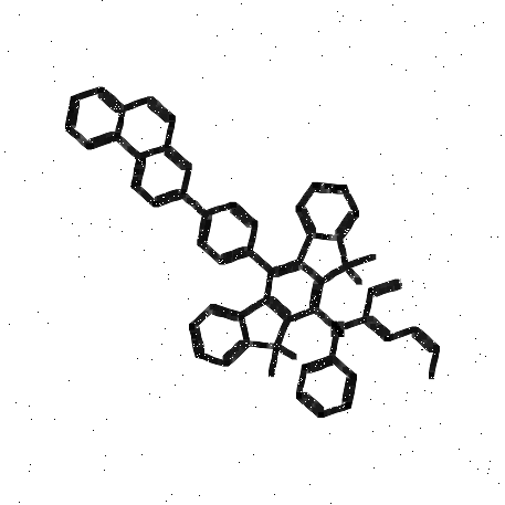 C=C/C(=C\C=C/C)N(c1ccccc1)c1c2c(c(-c3ccc(-c4ccc5c(ccc6ccccc65)c4)cc3)c3c1C(C)(C)c1ccccc1-3)-c1ccccc1C2(C)C